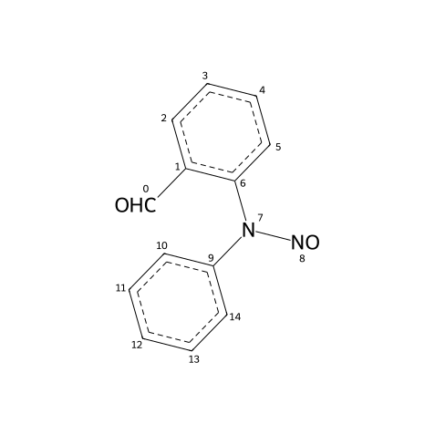 O=Cc1ccccc1N(N=O)c1ccccc1